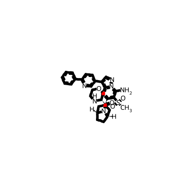 CS(=O)(=O)c1c([C@@H]2C[C@H]3CC[C@@H](C2)N3C(=O)[C@H]2COCCN2)nc2c(-c3ccc(-c4ccccc4)nc3)cnn2c1N